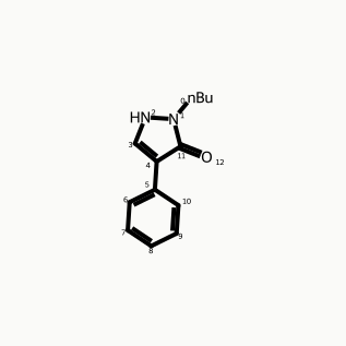 CCCCn1[nH]cc(-c2ccccc2)c1=O